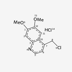 COc1cc2nccc(CCl)c2cc1OC.Cl